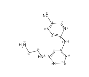 N#Cc1cnc(Nc2cc(NCCN)ncn2)cn1